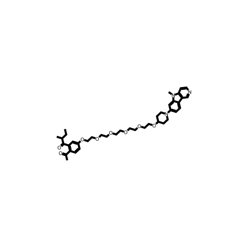 CCC(C)C(=O)c1cc(OCCOCCOCCOCCOCCOC2CCN(c3ccc4c5cnccc5n(C)c4c3)CC2)ccc1C(C)=O